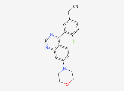 N#CCc1ccc(F)c(-c2ncnc3cc(N4CCOCC4)ccc23)c1